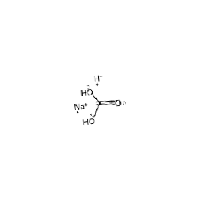 O=C(O)O.[H-].[Na+]